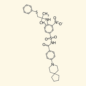 CC(C)(CSc1ccccc1)Nc1ccc(S(=O)(=O)NC(=O)c2ccc(N3CCC4(CCCC4)CC3)cc2)cc1[N+](=O)[O-]